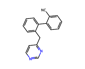 N#Cc1ccccc1-c1ccccc1Cc1ccncn1